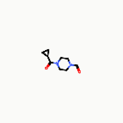 O=CN1CCN(C(=O)C2CC2)CC1